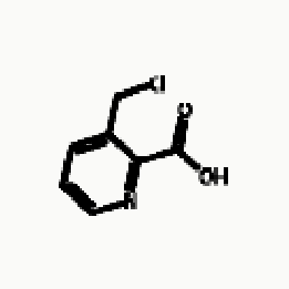 O=C(O)c1ncccc1CCl